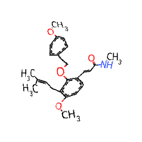 CNC(=O)/C=C/c1ccc(OC)c(CC=C(C)C)c1OCc1ccc(OC)cc1